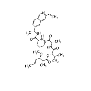 C=Cc1cc2cc([C@@H](C)NC(=O)[C@@H]3CCCN(C(=O)[C@H](C)NC(=O)[C@@H](OC(=O)[C@H](C)[C@@H](/C=C/C)OC)C(C)C)N3)ccc2cn1